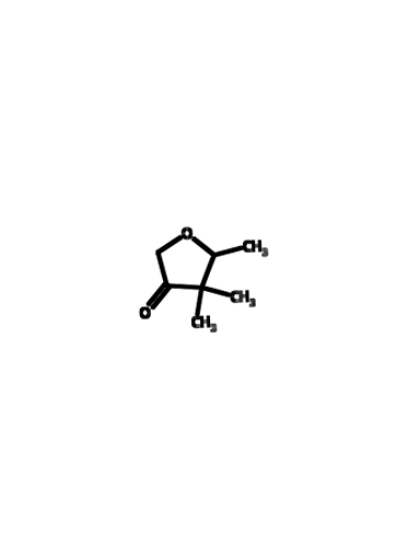 CC1OCC(=O)C1(C)C